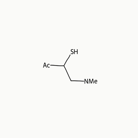 CNCC(S)C(C)=O